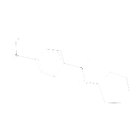 O=C(O)c1ccc(C(=O)NC2CCOCC2)cc1